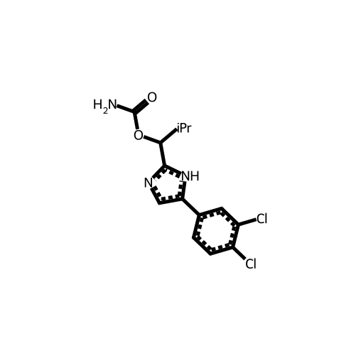 CC(C)C(OC(N)=O)c1ncc(-c2ccc(Cl)c(Cl)c2)[nH]1